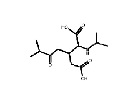 CC(C)NC(C(=O)O)C(CC(=O)O)CC(=O)C(C)C